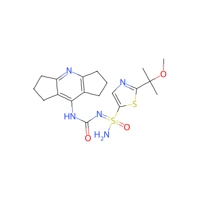 COC(C)(C)c1ncc(S(N)(=O)=NC(=O)Nc2c3c(nc4c2CCC4)CCC3)s1